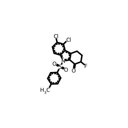 Cc1ccc(S(=O)(=O)n2c3c(c4c(Cl)c(Cl)ccc42)CCC(F)C3=O)cc1